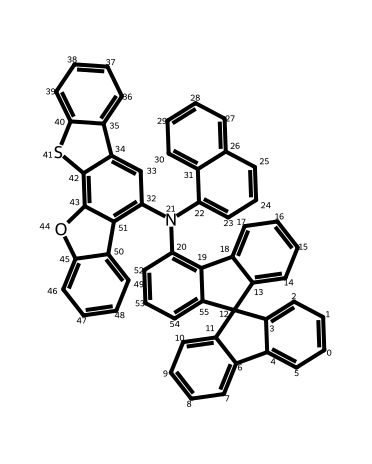 c1ccc2c(c1)-c1ccccc1C21c2ccccc2-c2c(N(c3cccc4ccccc34)c3cc4c5ccccc5sc4c4oc5ccccc5c34)cccc21